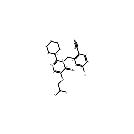 CC(C)COc1cnc(N2CCCCC2)n(Cc2cc(F)ccc2C#N)c1=O